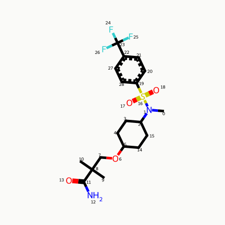 CN(C1CCC(OCC(C)(C)C(N)=O)CC1)S(=O)(=O)c1ccc(C(F)(F)F)cc1